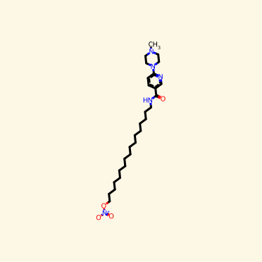 CN1CCN(c2ccc(C(=O)NCCCCCCCCCCCCCCCCCO[N+](=O)[O-])cn2)CC1